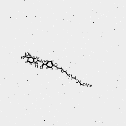 COCCOCCOCCOCCOc1ccc(C(=O)Nc2nc3cc(C(=O)C(C)(C)C)ccc3[nH]2)cc1